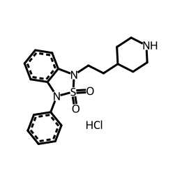 Cl.O=S1(=O)N(CCC2CCNCC2)c2ccccc2N1c1ccccc1